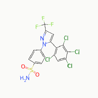 NS(=O)(=O)c1ccc(-n2nc(C(F)(F)F)cc2-c2c(Cl)cc(Cl)c(Cl)c2Cl)cc1